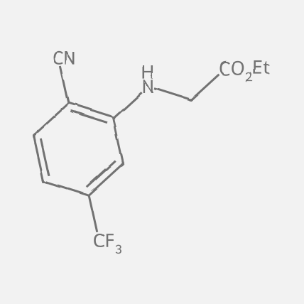 CCOC(=O)CNc1cc(C(F)(F)F)ccc1C#N